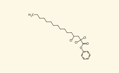 CCCCCCCCCCCCC(Cl)CC(Cl)(Cl)C(=O)Oc1ccccc1